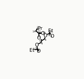 CCC(=O)OCC(COC(=O)CC)OC(=O)CC(C)C